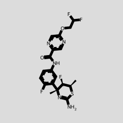 C[C@H]1SC(N)=N[C@](C)(c2cc(NC(=O)c3cnc(OCC(F)F)cn3)ccc2F)[C@H]1F